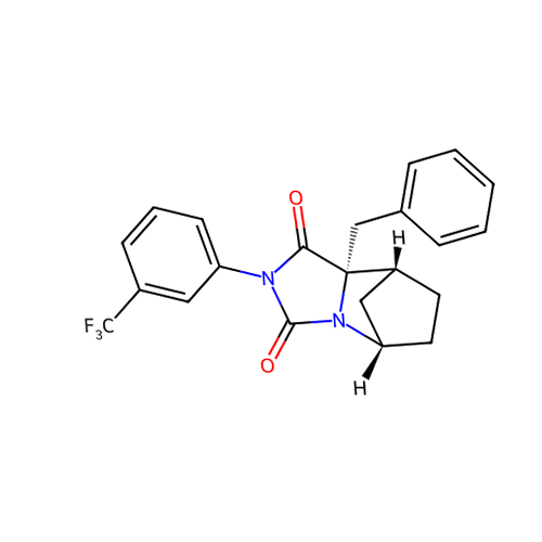 O=C1N(c2cccc(C(F)(F)F)c2)C(=O)[C@@]2(Cc3ccccc3)[C@@H]3CC[C@@H](C3)N12